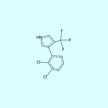 FC(F)(F)c1c[nH]cc1-c1cccc(Cl)c1Cl